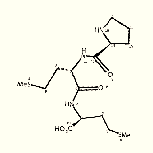 CSCC[C@H](NC(=O)[C@H](CCSC)NC(=O)[C@@H]1CCCN1)C(=O)O